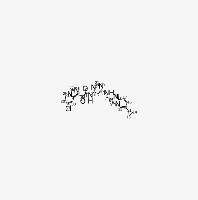 O=C(Nc1cc(NCc2cn3cc(C4CC4)ccc3n2)ncn1)C(=O)c1ncn2ccc(Cl)cc12